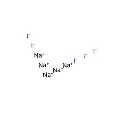 [I-].[I-].[I-].[I-].[I-].[Na+].[Na+].[Na+].[Na+].[Na+]